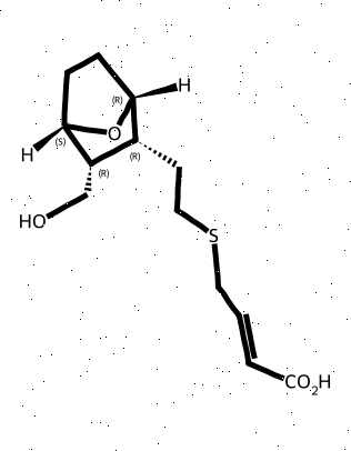 O=C(O)C=CCSCC[C@@H]1[C@H](CO)[C@@H]2CC[C@H]1O2